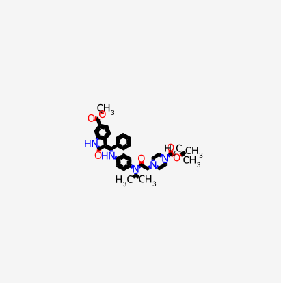 COC(=O)c1ccc2c(c1)NC(=O)/C2=C(\Nc1ccc(N(C(=O)CN2CCN(C(=O)OC(C)(C)C)CC2)C(C)C)cc1)c1ccccc1